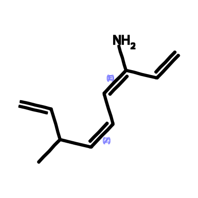 C=C/C(N)=C\C=C/C(C)C=C